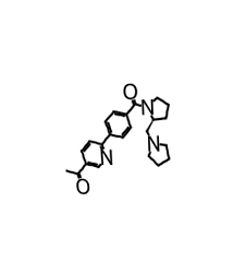 CC(=O)c1ccc(-c2ccc(C(=O)N3CCC[C@H]3CN3CCCC3)cc2)nc1